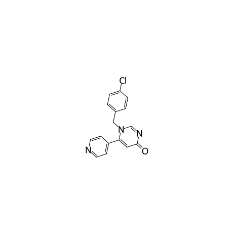 O=c1cc(-c2ccncc2)n(Cc2ccc(Cl)cc2)cn1